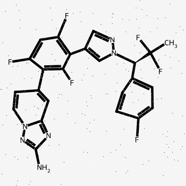 CC(F)(F)[C@@H](c1ccc(F)cc1)n1cc(-c2c(F)cc(F)c(-c3ccn4nc(N)nc4c3)c2F)cn1